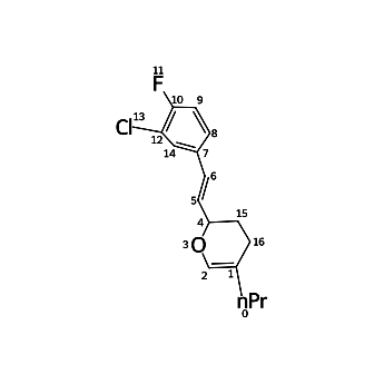 CCCC1=COC(/C=C/c2ccc(F)c(Cl)c2)CC1